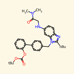 CCCCc1nc2ccc(NCC(=O)N(C)C)cc2n1Cc1ccc(-c2ccccc2OC(=O)OC(C)(C)C)cc1